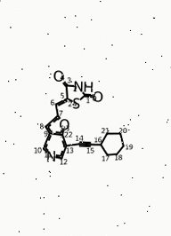 O=C1NC(=O)C(=Cc2cc3cncc(C#CC4CCCCC4)c3o2)S1